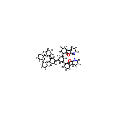 c1ccc2c(c1)-c1ccccc1-c1ccc(-c3cc(-c4cccc5c4oc4ncccc45)cc(-c4cccc5c4oc4ncccc45)c3)cc1-c1ccccc1-2